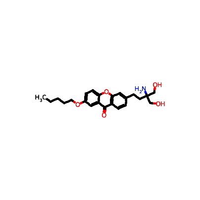 CCCCCOc1ccc2oc3cc(CCC(N)(CO)CO)ccc3c(=O)c2c1